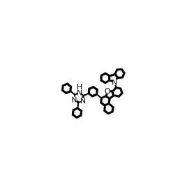 c1ccc(C2=NC(c3ccccc3)NC(c3cccc(-c4cc5ccccc5c5c4oc4c(-n6c7ccccc7c7ccccc76)cccc45)c3)=N2)cc1